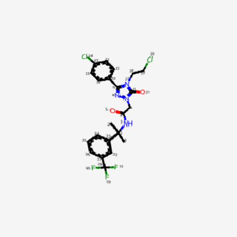 CC(C)(NC(=O)Cn1nc(-c2ccc(Cl)cc2)n(CCCl)c1=O)c1cccc(C(F)(F)F)c1